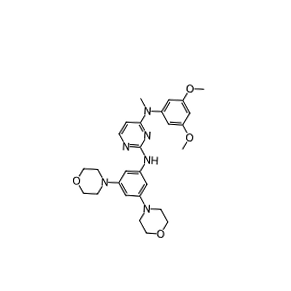 COc1cc(OC)cc(N(C)c2ccnc(Nc3cc(N4CCOCC4)cc(N4CCOCC4)c3)n2)c1